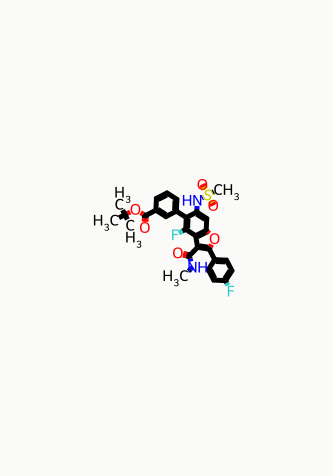 CNC(=O)c1c(-c2ccc(F)cc2)oc2cc(NS(C)(=O)=O)c(-c3cccc(C(=O)OC(C)(C)C)c3)c(F)c12